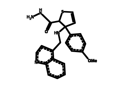 COc1ccc(C2(NCc3ccnc4ccccc34)C=CSC2C(=O)NN)cc1